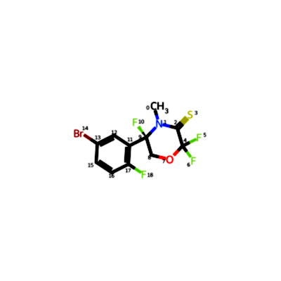 CN1C(=S)C(F)(F)OC[C@]1(F)c1cc(Br)ccc1F